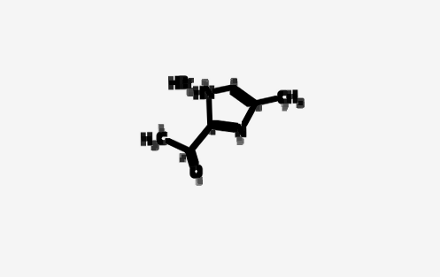 Br.CC(=O)c1nc(C)c[nH]1